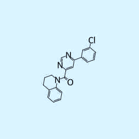 O=C(c1cc(-c2cccc(Cl)c2)ncn1)N1CCCc2ccccc21